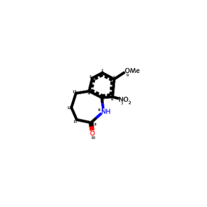 COc1ccc2c(c1[N+](=O)[O-])NC(=O)CCC2